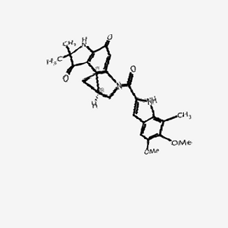 COc1cc2cc(C(=O)N3C[C@H]4C[C@@]45C3=CC(=O)C3=C5C(=O)C(C)(C)N3)[nH]c2c(C)c1OC